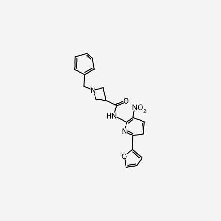 O=C(Nc1nc(-c2ccco2)ccc1[N+](=O)[O-])C1CN(Cc2ccccc2)C1